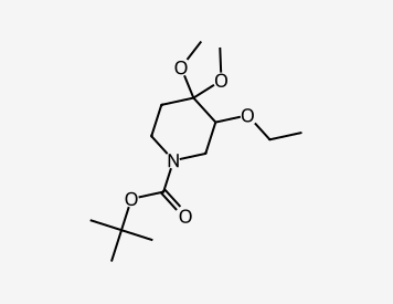 CCOC1CN(C(=O)OC(C)(C)C)CCC1(OC)OC